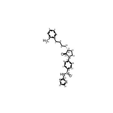 Cc1ccccc1CCCC[C@@H]1CCN(c2ccc([S+]([O-])Nc3nccs3)cc2)C1=O